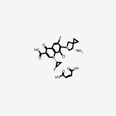 N[C@@H]1CN(c2c(F)cc3c(=O)c(C(=O)O)cn([C@@H]4C[C@@H]4F)c3c2Cl)CC12CC2.O=C(O)/C=C\C(=O)O